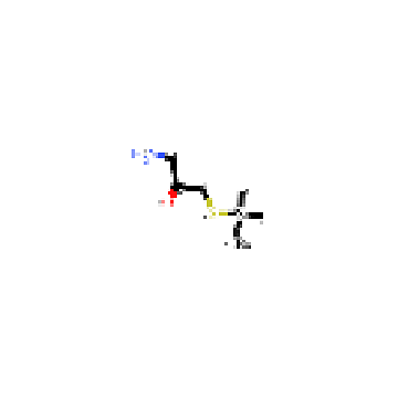 CC(C)(C)[Si](C)(C)SCC(=O)CN